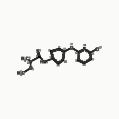 CON(C)C(=S)Nc1ccc(Oc2cccc(Cl)n2)cc1